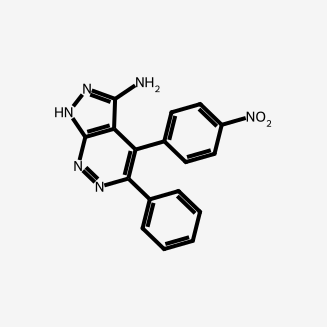 Nc1n[nH]c2nnc(-c3ccccc3)c(-c3ccc([N+](=O)[O-])cc3)c12